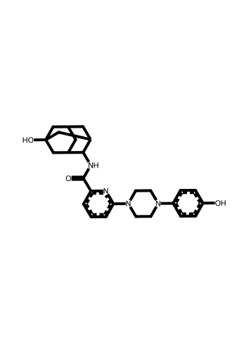 O=C(NC1C2CC3CC1CC(O)(C3)C2)c1cccc(N2CCN(c3ccc(O)cc3)CC2)n1